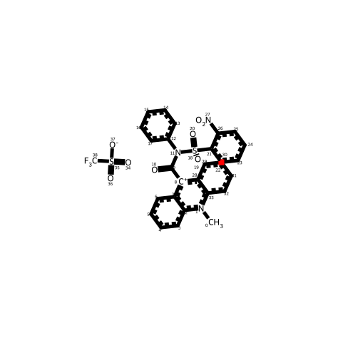 Cn1c2ccccc2[c+](C(=O)N(c2ccccc2)S(=O)(=O)c2ccccc2[N+](=O)[O-])c2ccccc21.O=S(=O)([O-])C(F)(F)F